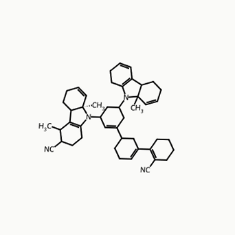 CC1C2=C(CCC1C#N)N(C1C=C(C3CCC=C(C4=C(C#N)CCCC4)C3)CC(N3C4=C(C=CCC4)C4CCC=CC43C)C1)[C@]1(C)C=CCCC21